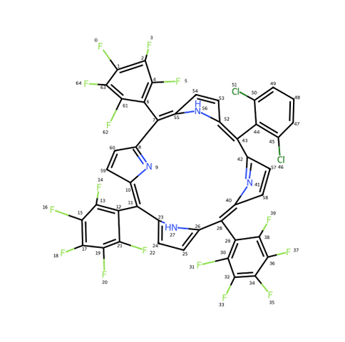 Fc1c(F)c(F)c(-c2c3nc(c(-c4c(F)c(F)c(F)c(F)c4F)c4ccc([nH]4)c(-c4c(F)c(F)c(F)c(F)c4F)c4nc(c(-c5c(Cl)cccc5Cl)c5ccc2[nH]5)C=C4)C=C3)c(F)c1F